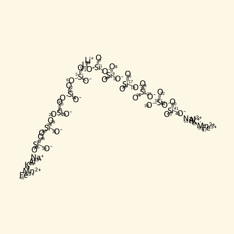 O=[Si]([O-])[O-].O=[Si]([O-])[O-].O=[Si]([O-])[O-].O=[Si]([O-])[O-].O=[Si]([O-])[O-].O=[Si]([O-])[O-].O=[Si]([O-])[O-].O=[Si]([O-])[O-].O=[Si]([O-])[O-].O=[Si]([O-])[O-].O=[Si]([O-])[O-].[Al+3].[Al+3].[Fe+3].[Fe+3].[K+].[K+].[Li+].[Li+].[Mn+2].[Mn+2].[Na+].[Na+]